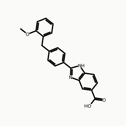 COc1ccccc1Cc1ccc(-c2nc3cc(C(=O)O)ccc3[nH]2)cc1